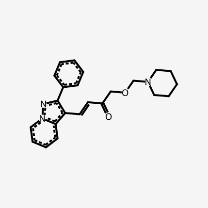 O=C(C=Cc1c(-c2ccccc2)nn2ccccc12)COCN1CCCCC1